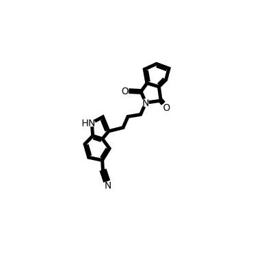 N#Cc1ccc2[nH]cc(CCCN3C(=O)c4ccccc4C3=O)c2c1